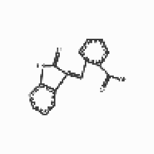 O=C1Nc2ncccc2C1=Cc1ccccc1C(=O)O